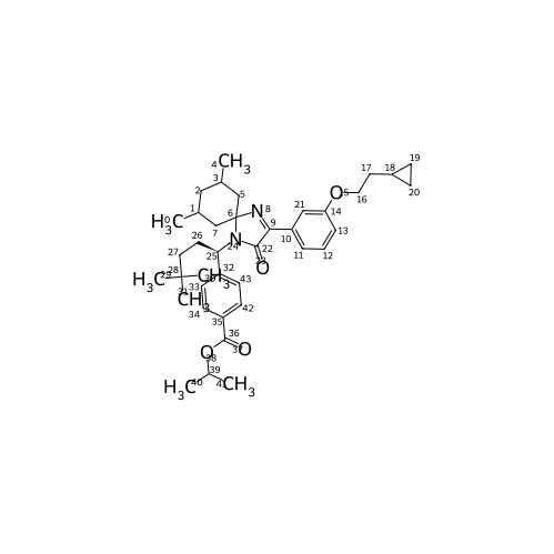 CC1CC(C)CC2(C1)N=C(c1cccc(OCCC3CC3)c1)C(=O)N2[C@H](CCC(C)(C)C)c1ccc(C(=O)OC(C)C)cc1